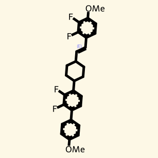 COc1ccc(-c2ccc(C3CCC(/C=C/c4ccc(OC)c(F)c4F)CC3)c(F)c2F)cc1